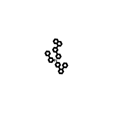 c1ccc(-c2cccc(N(c3ccc(-c4ccccc4-c4ccccc4)cc3)c3cccc(-c4cccc(-c5cccc6ccccc56)c4)c3)c2)cc1